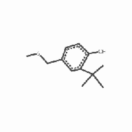 CSCc1ccc(O)c(C(C)(C)C)c1